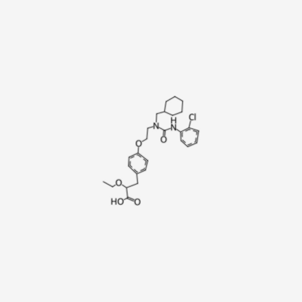 CCOC(Cc1ccc(OCCN(CC2CCCCC2)C(=O)Nc2ccccc2Cl)cc1)C(=O)O